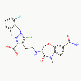 CNC(=O)c1ccc2c(c1)OCC(NCCc1c(C(=O)O)nn(Cc3c(F)cccc3F)c1Cl)C(=O)N2C